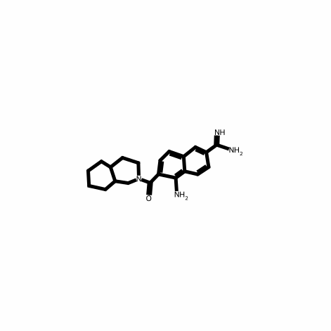 N=C(N)c1ccc2c(N)c(C(=O)N3CCC4CCCCC4C3)ccc2c1